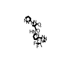 COc1nn(-c2cccnn2)cc1C(=O)Nc1cccc(-c2nncn2[C@@H](C)C(F)(F)F)n1